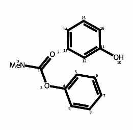 CNC(=O)Oc1ccccc1.Oc1ccccc1